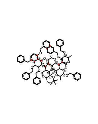 CC(=O)NC1[C@H](C)OC2COC(C)(C)O[C@H]2[C@@H]1O[C@@H]1OC(C)[C@@H](OCc2ccccc2)[C@H](O[C@@H]2OC(C)[C@@H](OCc3ccccc3)[C@H](OCc3ccccc3)C2O[C@@H]2OC(C)[C@@H](OCc3ccccc3)[C@H](O[C@H]3O[C@@H](COCc4ccccc4)[C@H](OCc4ccccc4)C(OCc4ccccc4)C3OCc3ccccc3)C2O)C1OC(C)=O